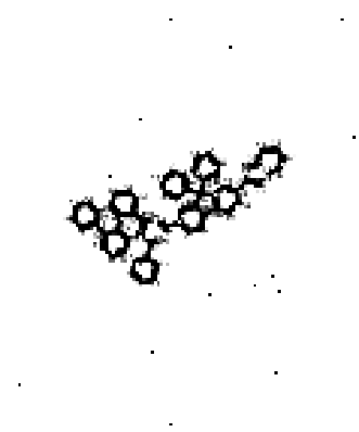 c1ccc(-c2nc(-c3ccc4c(c3)C(c3ccccc3)(c3ccccc3)c3cc(-c5cn6ccccc6n5)ccc3-4)nc(-c3ccccc3-c3ccccc3-c3ccccc3)n2)cc1